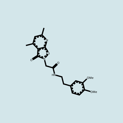 COc1ccc(CCNC(=O)Cn2sc3nc(C)cc(C)c3c2=O)cc1OC